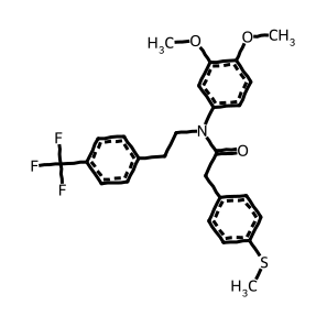 COc1ccc(N(CCc2ccc(C(F)(F)F)cc2)C(=O)Cc2ccc(SC)cc2)cc1OC